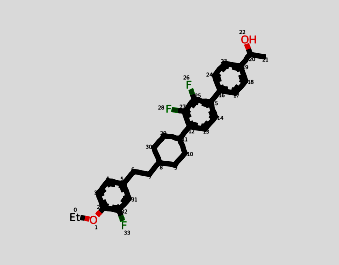 CCOc1ccc(CCC2CCC(c3ccc(-c4ccc(C(C)O)cc4)c(F)c3F)CC2)cc1F